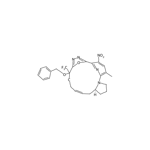 Cc1cc([N+](=O)[O-])c2nc1N1CCC[C@H]1CC=CCCC(OCc1ccccc1)(C(F)(F)F)c1nnc-2o1